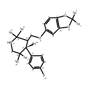 [2H]C1([2H])Oc2ccc(OCC3C([2H])([2H])NCC([2H])([2H])[C@@]3([2H])c3ccc(F)cc3)cc2O1